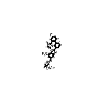 COC(C)(C)CNCc1cc(C(F)(F)F)c2oc(-c3cccc(-c4ccc(F)cc4-c4nncn4C)c3)nc2c1